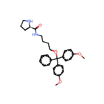 COc1ccc(C(OCCCCNC(=O)[C@H]2CCCN2)(c2ccccc2)c2ccc(OC)cc2)cc1